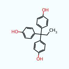 CCC(c1ccc(O)cc1)(c1ccc(O)cc1)c1ccc(O)cc1